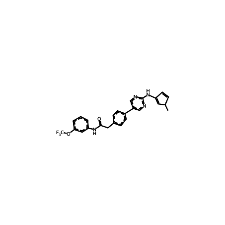 CC1C=CC(Nc2ncc(-c3ccc(CC(=O)Nc4cccc(OC(F)(F)F)c4)cc3)cn2)=C1